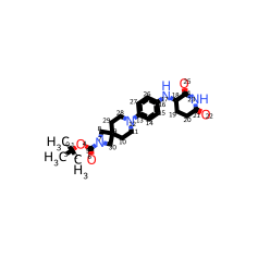 CC(C)(C)OC(=O)N1CC2(CCN(c3ccc(NC4CCC(=O)NC4=O)cc3)CC2)C1